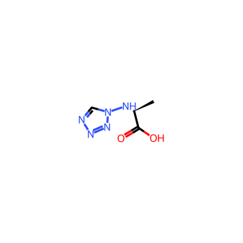 C[C@H](Nn1cnnn1)C(=O)O